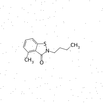 CCCCn1sc2cccc(C)c2c1=O